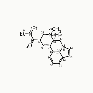 CCN(CC)C(=O)C1C=C2c3cccc4ccn(c34)C[C@@H]2N(C)C1